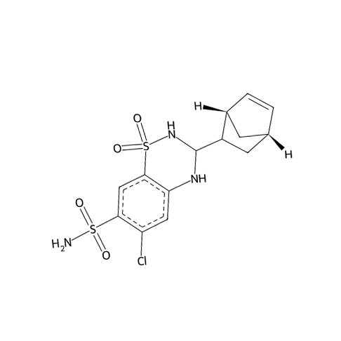 NS(=O)(=O)c1cc2c(cc1Cl)NC(C1C[C@H]3C=C[C@@H]1C3)NS2(=O)=O